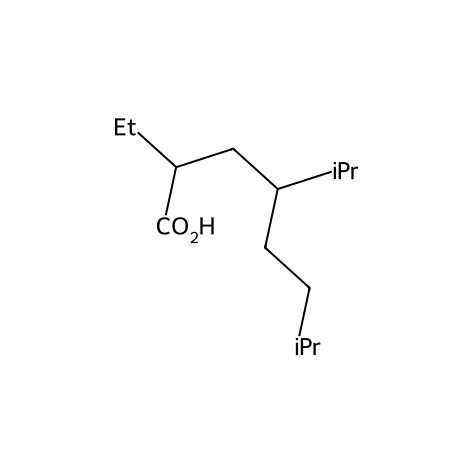 CCC(CC(CCC(C)C)C(C)C)C(=O)O